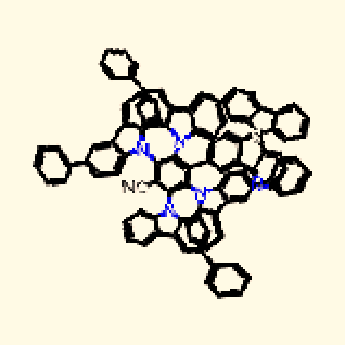 N#Cc1c(-n2c3ccccc3c3cc(-c4ccccc4)ccc32)c(-n2c3ccccc3c3cc(-c4ccccc4)ccc32)c(-c2ccc3c(c2)-c2ncccc2[Si]32c3ccccc3-c3ccccc32)c(-n2c3ccccc3c3cc(-c4ccccc4)ccc32)c1-n1c2ccccc2c2cc(-c3ccccc3)ccc21